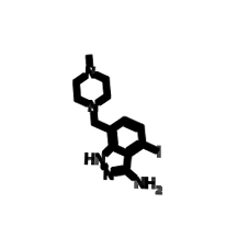 CN1CCN(Cc2ccc(I)c3c(N)n[nH]c23)CC1